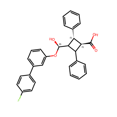 O=C(O)[C@H]1C(c2ccccc2)C([C@H](O)Oc2cccc(-c3ccc(F)cc3)c2)[C@@H]1c1ccccc1